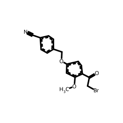 COc1cc(OCc2ccc(C#N)cc2)ccc1C(=O)CBr